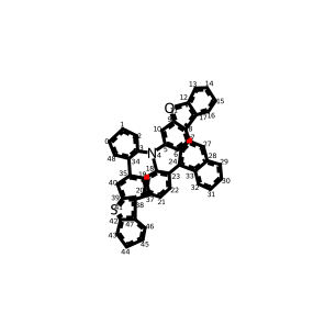 c1ccc(N(c2ccc3c(c2)oc2ccccc23)c2ccccc2-c2cccc3ccccc23)c(-c2ccc3c(c2)sc2ccccc23)c1